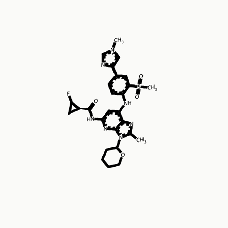 Cc1nc2c(Nc3ccc(-c4cn(C)cn4)cc3S(C)(=O)=O)cc(NC(=O)[C@H]3CC3F)nc2n1C1CCCCO1